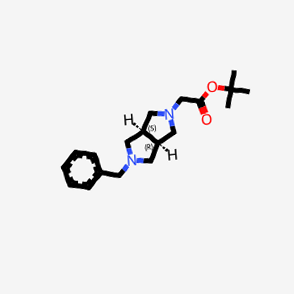 CC(C)(C)OC(=O)CN1C[C@@H]2CN(Cc3ccccc3)C[C@@H]2C1